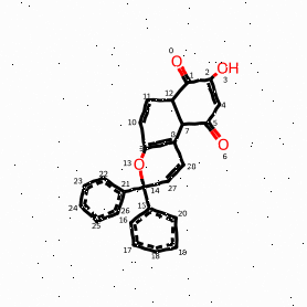 O=C1C(O)=CC(=O)C2C3=C(C=CC12)OC(c1ccccc1)(c1ccccc1)C=C3